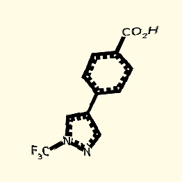 O=C(O)c1ccc(-c2cnn(C(F)(F)F)c2)cc1